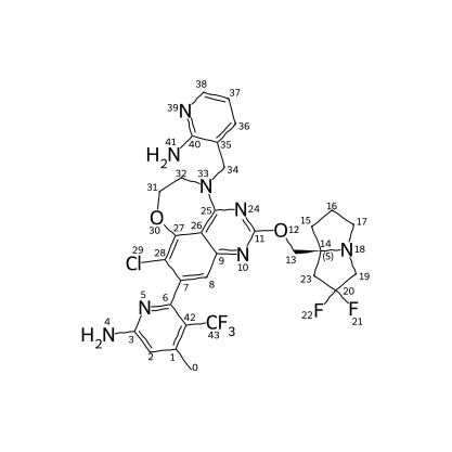 Cc1cc(N)nc(-c2cc3nc(OC[C@@]45CCCN4CC(F)(F)C5)nc4c3c(c2Cl)OCCN4Cc2cccnc2N)c1C(F)(F)F